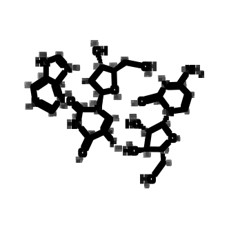 Nc1ccn([C@@H]2O[C@H](CO)[C@@H](O)[C@@H]2O)c(=O)n1.O=c1[nH]c(=O)n([C@H]2C[C@H](O)[C@@H](CO)O2)cc1F.c1ncc2[nH]cnc2n1